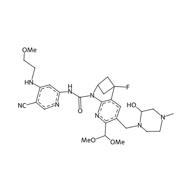 COCCNc1cc(NC(=O)N2c3nc(C(OC)OC)c(CN4CCN(C)CC4O)cc3C3(F)CC2C3)ncc1C#N